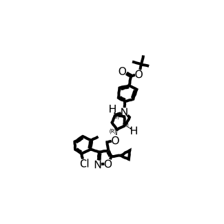 Cc1cccc(Cl)c1-c1noc(C2CC2)c1CO[C@@H]1C[C@@H]2C[C@H]1CN2c1ccc(C(=O)OC(C)(C)C)cc1